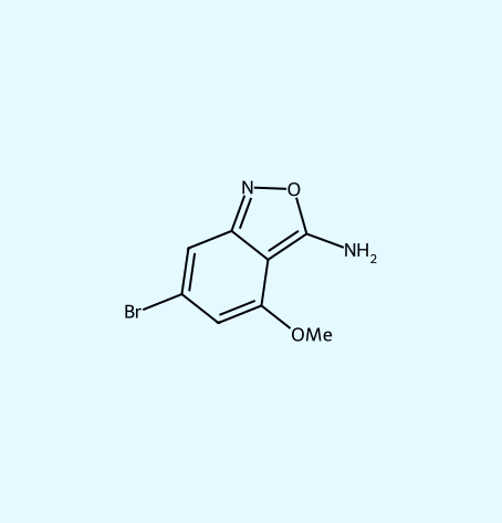 COc1cc(Br)cc2noc(N)c12